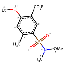 CCOC(=O)c1cc(S(=O)(=O)N(C)OC)c(C)cc1OCC